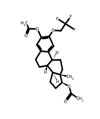 CC(=O)Oc1cc2c(cc1OCC(F)(F)F)[C@H]1CC[C@]3(C)[C@@H](OC(C)=O)CC[C@H]3[C@@H]1CC2